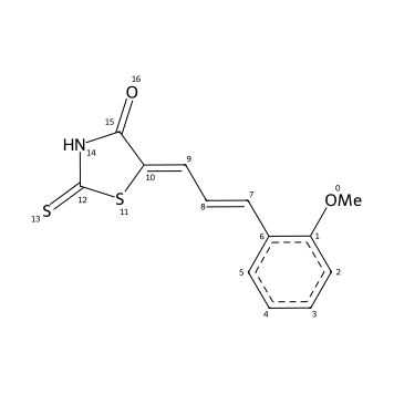 COc1ccccc1C=CC=C1SC(=S)NC1=O